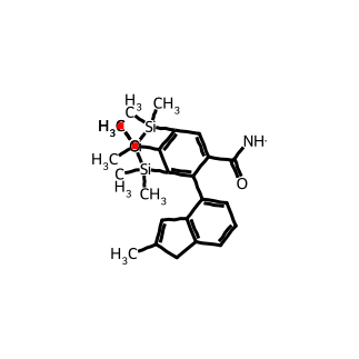 COc1c2cc(C([NH])=O)c(-c3cccc4c3C=C(C)C4)c1[Si](C)(C)[Si](C)(C)[Si]2(C)C